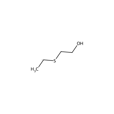 C[CH]SCCO